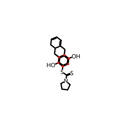 Oc1cc(SC(=S)N2CCCC2)c(O)c2c1C1C3=CC=CCC3C2c2ccccc21